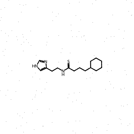 S=C(CCCC1CCCCC1)NCCc1c[nH]cn1